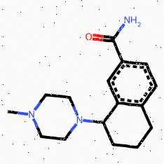 CN1CCN(C2CCCc3ccc(C(N)=O)cc32)CC1